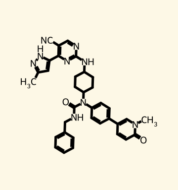 Cc1cc(-c2nc(NC3CCC(N(C(=O)NCc4ccccc4)c4ccc(-c5ccc(=O)n(C)c5)cc4)CC3)ncc2C#N)[nH]n1